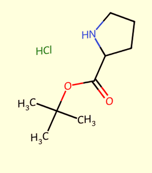 CC(C)(C)OC(=O)C1CCCN1.Cl